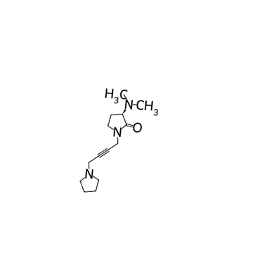 CN(C)[C@@H]1CCN(CC#CCN2CCCC2)C1=O